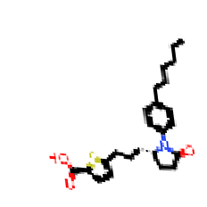 CCCCCCc1ccc(N2C(=O)CC[C@@H]2CCCc2ccc(C(=O)O)s2)cc1